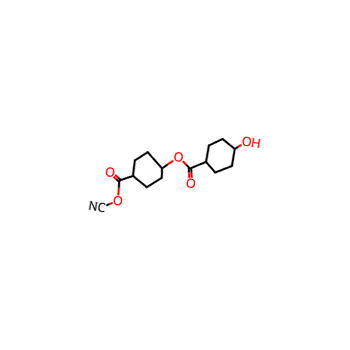 N#COC(=O)C1CCC(OC(=O)C2CCC(O)CC2)CC1